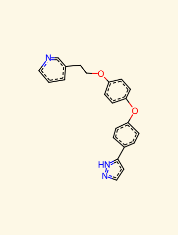 c1cncc(CCOc2ccc(Oc3ccc(-c4ccn[nH]4)cc3)cc2)c1